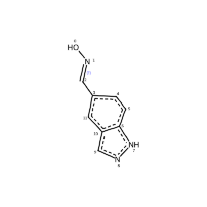 O/N=C/c1ccc2[nH]ncc2c1